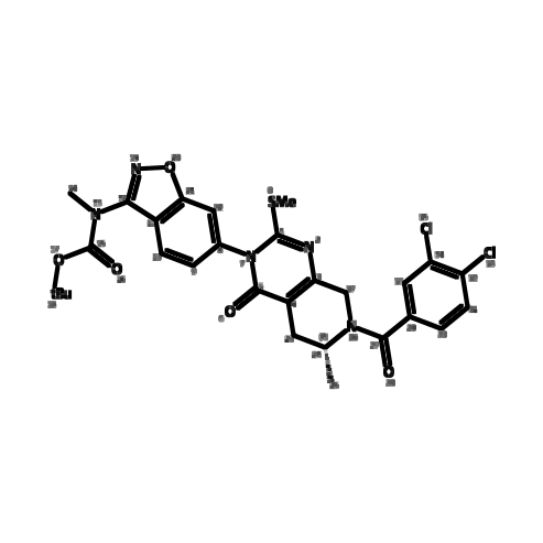 CSc1nc2c(c(=O)n1-c1ccc3c(N(C)C(=O)OC(C)(C)C)noc3c1)C[C@@H](C)N(C(=O)c1ccc(Cl)c(Cl)c1)C2